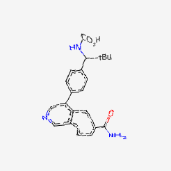 CC(C)(C)C(NC(=O)O)c1ccc(-c2cncc3ccc(C(N)=O)cc23)cc1